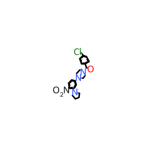 O=C(c1ccc(Cl)cc1)N1CCN(c2ccc([N+](=O)[O-])c(N3CCCC3)c2)CC1